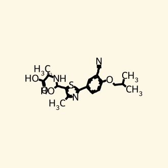 Cc1nc(-c2ccc(OCC(C)C)c(C#N)c2)sc1C(O)N[C@@H](C)C(=O)O